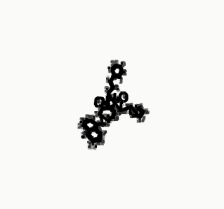 O=C1N(C/C=C/c2ccccc2)C(=O)C2(CCN(Cc3cccc4ccccc34)CC2)N1CCn1cccc1